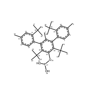 Cc1ccc(-c2c(C)c(-c3ccc(C)cc3C(C)(C)C)c(C(C)(C)C)c(OP(O)O)c2C(C)(C)C)c(C(C)(C)C)c1